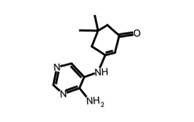 CC1(C)CC(=O)C=C(Nc2cncnc2N)C1